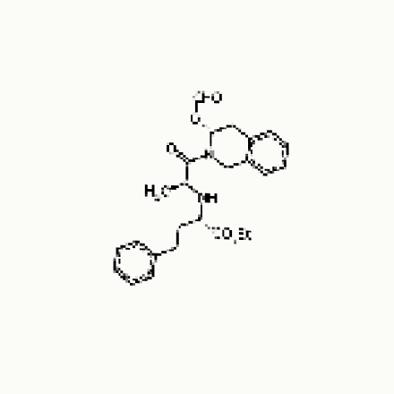 CCOC(=O)[C@H](CCc1ccccc1)N[C@@H](C)C(=O)N1Cc2ccccc2C[C@H]1OC=O